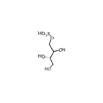 O=S(=O)(O)OCC(O)[C@@H](O)CO